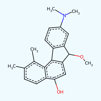 COC1c2cc(N(C)C)ccc2-c2c1cc(O)c1ccc(C)c(C)c21